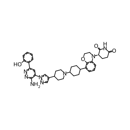 Nc1nnc(-c2ccccc2O)cc1-n1cc(C2CCN(C3CCC(c4cccc5c4OCCN5[C@@H]4CCC(=O)NC4=O)CC3)CC2)cn1